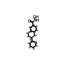 O=C(NO)c1ccc2c(c1)CCC(c1ccccn1)C2